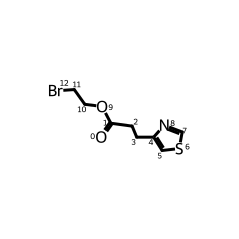 O=C(CCc1cscn1)OCCBr